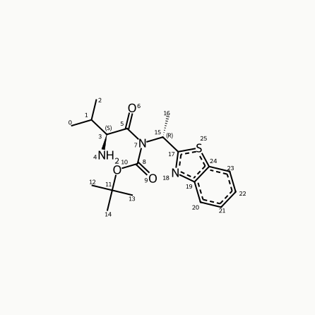 CC(C)[C@H](N)C(=O)N(C(=O)OC(C)(C)C)[C@H](C)c1nc2ccccc2s1